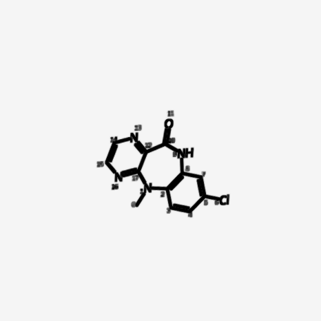 CN1c2ccc(Cl)cc2NC(=O)c2nccnc21